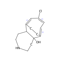 OC12CCNCCC1\C1=C/C(Cl)=C\C=C\2CC1